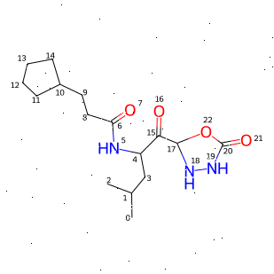 CC(C)CC(NC(=O)CCC1CCCC1)C(=O)C1NNC(=O)O1